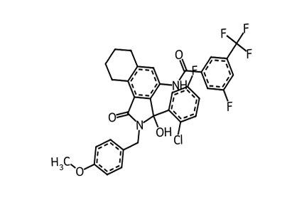 COc1ccc(CN2C(=O)c3c4c(cc(NC(=O)c5cc(F)cc(C(F)(F)F)c5)c3C2(O)c2cc(F)ccc2Cl)CCCC4)cc1